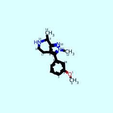 COc1cccc(-c2c3c(nn2C)C(C)NCC3)c1